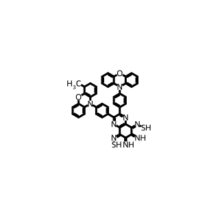 CC1CC=CC2=C1Oc1ccccc1N2c1ccc(-c2nc3/c(=N/S)c(=N)c(=N)/c(=N\S)c3nc2-c2ccc(N3c4ccccc4Oc4ccccc43)cc2)cc1